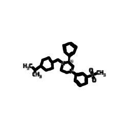 CC(C)C1CCC(CN2CCN(c3cccc(S(C)(=O)=O)c3)C[C@@H]2c2ccccc2)CC1